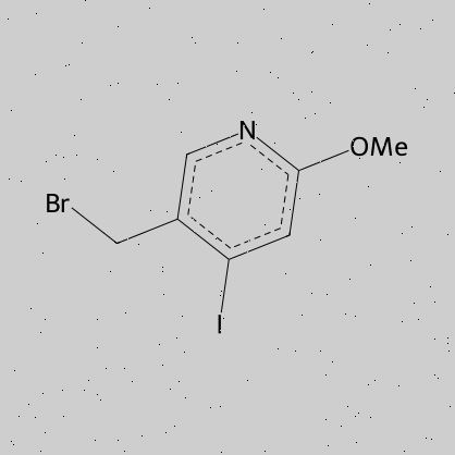 COc1cc(I)c(CBr)cn1